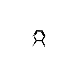 FC1N=CC=CC1I